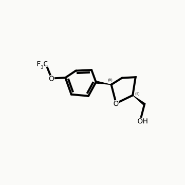 OC[C@@H]1CC[C@H](c2ccc(OC(F)(F)F)cc2)O1